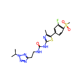 Cc1nc(NC(=O)NCCc2nnn(C(C)C)n2)sc1-c1ccc(S(C)(=O)=O)c(F)c1